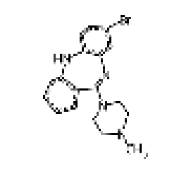 CN1CCN(C2=Nc3cc(Br)ccc3Nc3ccccc32)CC1